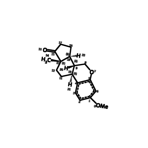 COc1ccc2c(c1)OC[C@@H]1[C@@H]2CC[C@]2(C)C(=O)CC[C@@H]12